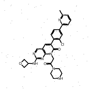 Cc1cccc(-c2ccc(-c3cc4cnc(NC5COC5)nc4n(CC(=O)N4CCNCC4)c3=O)c(Cl)c2)n1